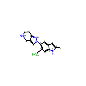 Cc1cc2cc(-n3cc4c(n3)CCNC4)c(C)cc2[nH]1.Cl